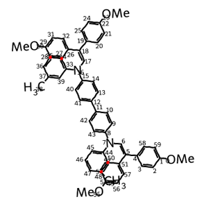 COc1ccc(C(=CN(c2ccc(-c3ccc(N(C=C(c4ccc(OC)cc4)c4ccc(OC)cc4)c4cccc(C)c4)cc3)cc2)c2cccc(C)c2)c2ccc(OC)cc2)cc1